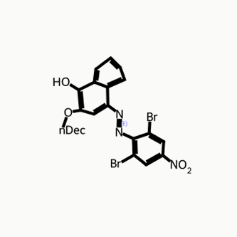 CCCCCCCCCCOc1cc(/N=N/c2c(Br)cc([N+](=O)[O-])cc2Br)c2ccccc2c1O